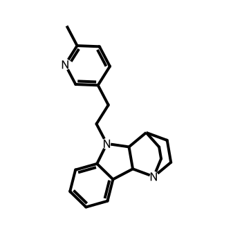 Cc1ccc(CCN2c3ccccc3C3C2C2CCN3CC2)cn1